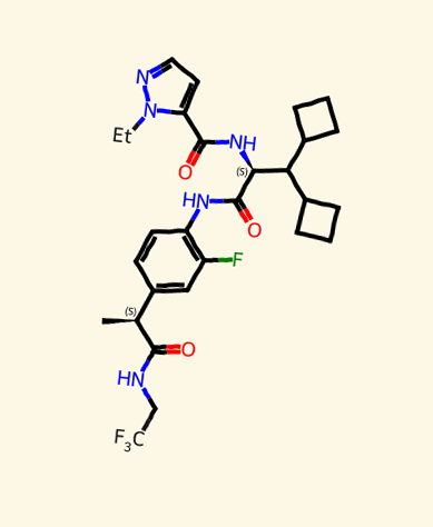 CCn1nccc1C(=O)N[C@H](C(=O)Nc1ccc([C@H](C)C(=O)NCC(F)(F)F)cc1F)C(C1CCC1)C1CCC1